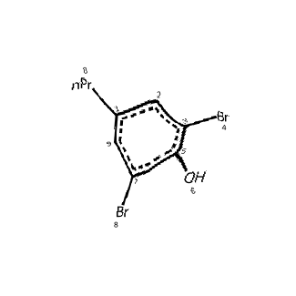 C[C]Cc1cc(Br)c(O)c(Br)c1